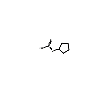 CCCC[PH](=O)OC1CCCC1